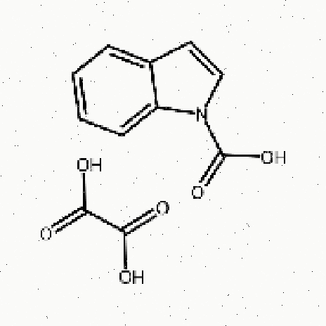 O=C(O)C(=O)O.O=C(O)n1ccc2ccccc21